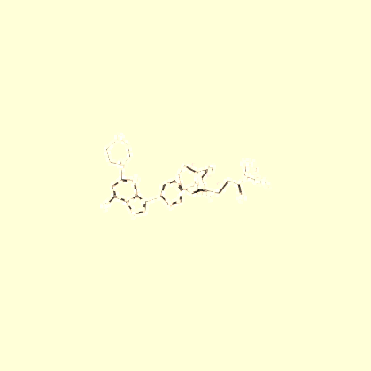 CN(C)C(=O)/C=C/C1=CCC/C=C(N(C)c2ccc(-c3csc4c(=O)cc(N5CCOCC5)oc34)nc2)/N=C/1